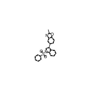 Cc1nc2cc(-c3cn(S(=O)(=O)c4ccccc4)c4ccccc34)ccc2o1